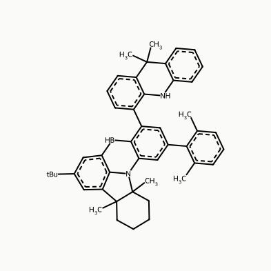 Cc1cccc(C)c1-c1cc(-c2cccc3c2Nc2ccccc2C3(C)C)c2c(c1)N1c3c(cc(C(C)(C)C)cc3C3(C)CCCCC13C)B2